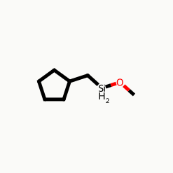 CO[SiH2]CC1CCCC1